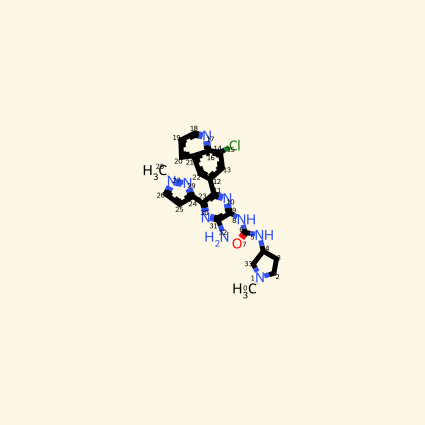 CN1CCC(NC(=O)Nc2nc(-c3cc(Cl)c4ncccc4c3)c(-c3ccn(C)n3)nc2N)C1